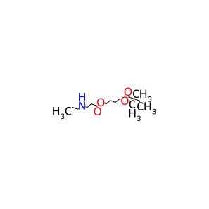 CCCNCCC(=O)OCCCCOC(=O)C(C)(C)CC